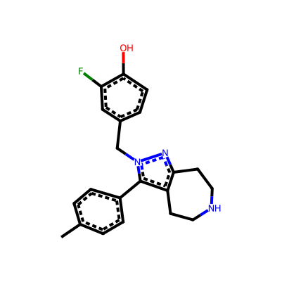 Cc1ccc(-c2c3c(nn2Cc2ccc(O)c(F)c2)CCNCC3)cc1